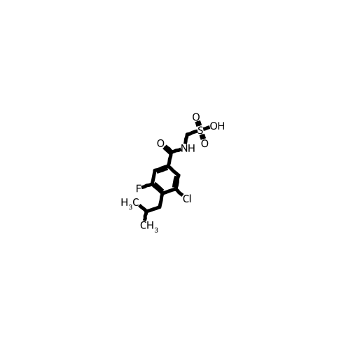 CC(C)Cc1c(F)cc(C(=O)NCS(=O)(=O)O)cc1Cl